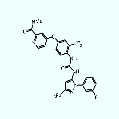 CNC(=O)c1cc(Oc2ccc(NC(=O)Nc3cc(C(C)(C)C)nn3-c3cccc(F)c3)c(C(F)(F)F)c2)ccn1